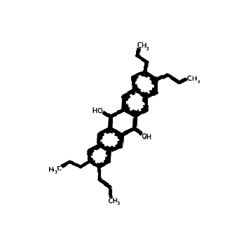 CCCc1cc2cc3c(cc2cc1CCC)C(O)c1cc2cc(CCC)c(CCC)cc2cc1C3O